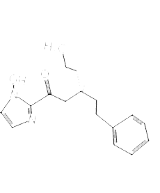 CCC[C@H](CCc1ccccc1)CC(=O)c1nccn1O